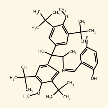 COc1c(C(C)(C)C)cc(C(O)(c2cc(C(C)(C)C)c(OC)c(C(C)(C)C)c2)C(C)N=Cc2cc(F)ccc2O)cc1C(C)(C)C